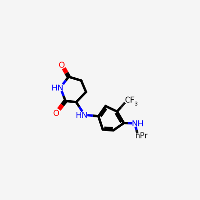 CCCNc1ccc(NC2CCC(=O)NC2=O)cc1C(F)(F)F